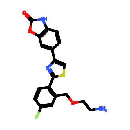 NCCOCc1cc(F)ccc1-c1nc(-c2ccc3[nH]c(=O)oc3c2)cs1